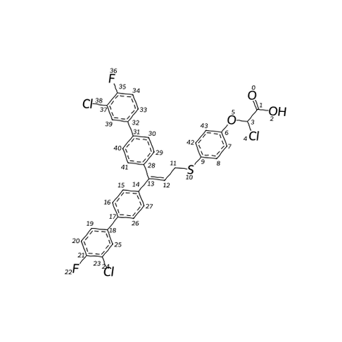 O=C(O)C(Cl)Oc1ccc(SCC=C(c2ccc(-c3ccc(F)c(Cl)c3)cc2)c2ccc(-c3ccc(F)c(Cl)c3)cc2)cc1